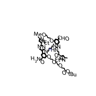 CCn1nc(C)cc1C(=O)CNc1nc2cc(C=O)cc(OCCCOC)c2n1C/C=C/Cn1c2nc(-c3cc(C)nn3CC)ncc2c2cc(C(N)=O)cc(OCCOCCOCCC(=O)OC(C)(C)C)c21